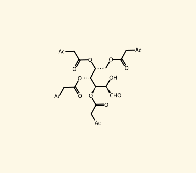 CC(=O)CC(=O)OC[C@@H](OC(=O)CC(C)=O)[C@@H](OC(=O)CC(C)=O)[C@H](OC(=O)CC(C)=O)[C@@H](O)C=O